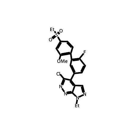 CCn1ncc2c(-c3ccc(F)c(-c4ccc(S(=O)(=O)CC)cc4OC)c3)c(Cl)nnc21